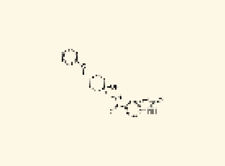 O=C(NC[C@]1(O)CC[C@H](COc2ccccc2)CC1)c1ccc2[nH]c(=O)oc2c1